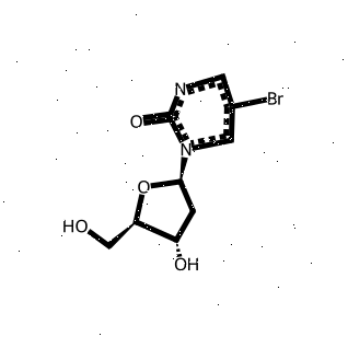 O=c1ncc(Br)cn1[C@H]1C[C@H](O)[C@@H](CO)O1